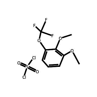 COc1cccc(OC(F)(F)F)c1OC.O=S(=O)(Cl)Cl